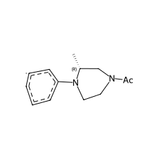 CC(=O)N1CCN(c2c[c]ccc2)[C@H](C)C1